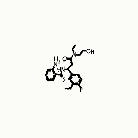 CCc1cc(C(CC(=O)N(CC)CCO)NC(=S)c2ccccc2N)ccc1F